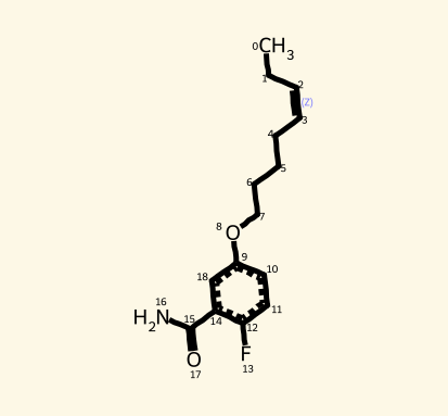 CC/C=C\CCCCOc1ccc(F)c(C(N)=O)c1